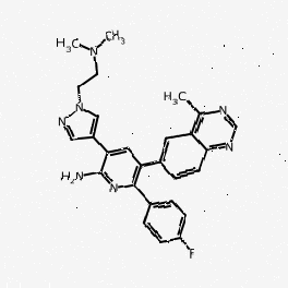 Cc1ncnc2ccc(-c3cc(-c4cnn(CCN(C)C)c4)c(N)nc3-c3ccc(F)cc3)cc12